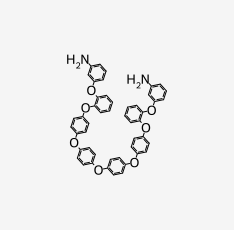 Nc1cccc(Oc2ccccc2Oc2ccc(Oc3ccc(Oc4ccc(Oc5ccc(Oc6ccccc6Oc6cccc(N)c6)cc5)cc4)cc3)cc2)c1